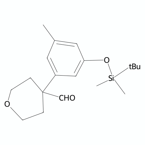 Cc1cc(O[Si](C)(C)C(C)(C)C)cc(C2(C=O)CCOCC2)c1